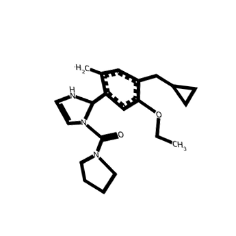 [CH2]c1cc(CC2CC2)c(OCC)cc1C1NC=CN1C(=O)N1CCCC1